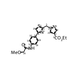 CCOC(=O)c1cnn(Cc2nc(-c3ccc(NC(=O)COC)cc3)cs2)c1